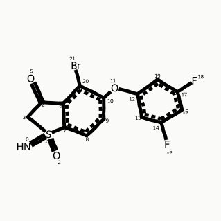 N=S1(=O)CC(=O)c2c1ccc(Oc1cc(F)cc(F)c1)c2Br